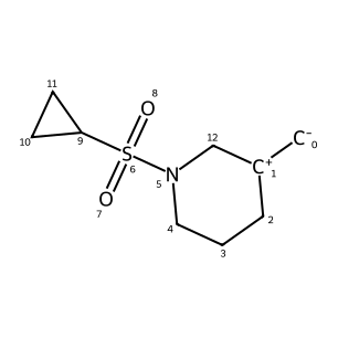 [CH2-][C+]1CCCN(S(=O)(=O)C2CC2)C1